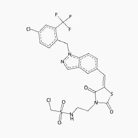 O=C1SC(=Cc2ccc3c(cnn3Cc3ccc(Cl)cc3C(F)(F)F)c2)C(=O)N1CCNS(=O)(=O)CCl